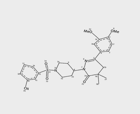 COc1ccc(C2=NN(C3CCN(S(=O)(=O)c4cccc(C#N)c4)CC3)C(=O)C(C)(C)C2)cc1OC